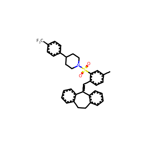 Cc1ccc(C=C2c3ccccc3CCc3ccccc32)c(S(=O)(=O)N2CCC(c3ccc(C(F)(F)F)cc3)CC2)c1